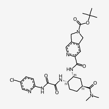 CN(C)C(=O)[C@H]1CC[C@H](NC(=O)C(=O)Nc2ccc(Cl)cn2)[C@H](NC(=O)c2cc3c(cn2)CN(C(=O)OC(C)(C)C)C3)C1